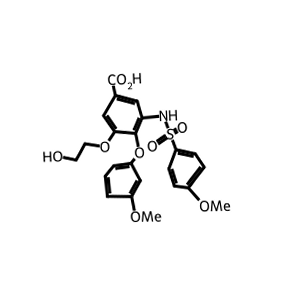 COc1ccc(S(=O)(=O)Nc2cc(C(=O)O)cc(OCCO)c2Oc2cccc(OC)c2)cc1